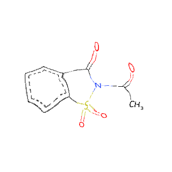 CC(=O)N1C(=O)c2ccccc2S1(=O)=O